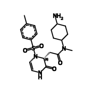 Cc1ccc(S(=O)(=O)N2C=CNC(=O)[C@H]2CC(=O)N(C)C2CCC(N)CC2)cc1